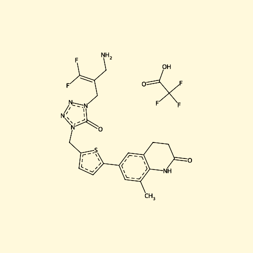 Cc1cc(-c2ccc(Cn3nnn(CC(CN)=C(F)F)c3=O)s2)cc2c1NC(=O)CC2.O=C(O)C(F)(F)F